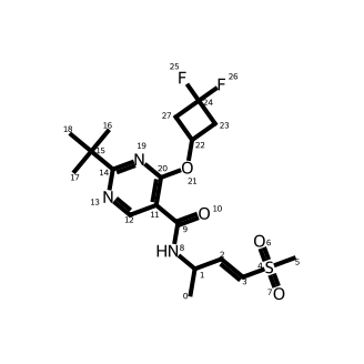 CC(C=CS(C)(=O)=O)NC(=O)c1cnc(C(C)(C)C)nc1OC1CC(F)(F)C1